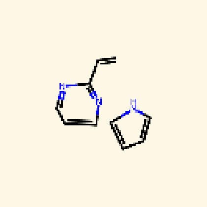 C=Cc1ncccn1.c1cc[nH]c1